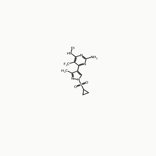 CCNc1nc(N)nc(-c2cn(S(=O)(=O)C3CC3)nc2C)c1C(F)(F)F